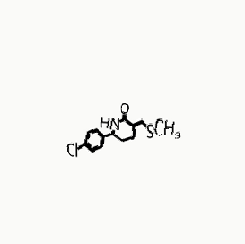 CSCC1CCC(c2ccc(Cl)cc2)NC1=O